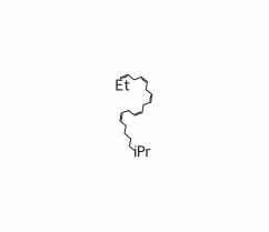 CC/C=C\C/C=C\C/C=C\C/C=C\C/C=C\CCCCC(C)C